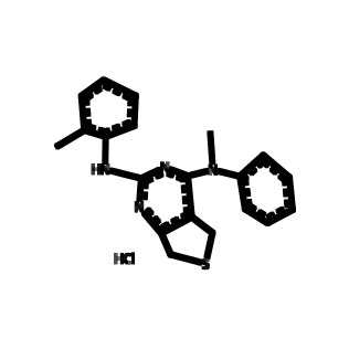 Cc1ccccc1Nc1nc2c(c(N(C)c3ccccc3)n1)CSC2.Cl